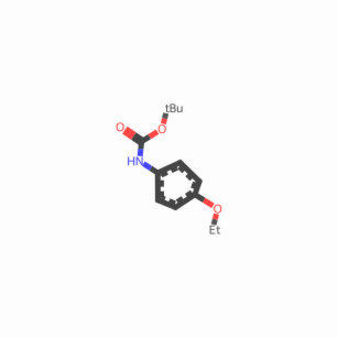 CCOc1ccc(NC(=O)OC(C)(C)C)cc1